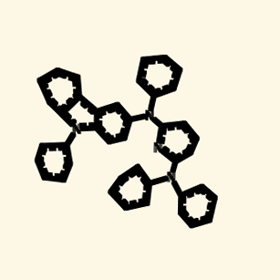 c1ccc(N(c2ccccc2)c2cccc(N(c3ccccc3)c3ccc4c(c3)c3ccccc3n4-c3ccccc3)n2)cc1